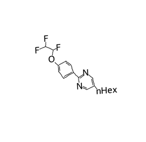 CCCCCCc1cnc(-c2ccc(OC(F)C(F)F)cc2)nc1